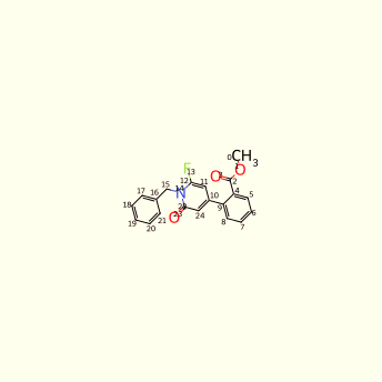 COC(=O)c1ccccc1-c1cc(F)n(Cc2ccccc2)c(=O)c1